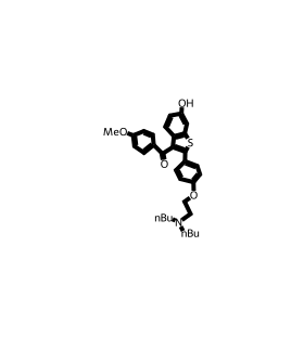 CCCCN(CCCC)CCOc1ccc(-c2sc3cc(O)ccc3c2C(=O)c2ccc(OC)cc2)cc1